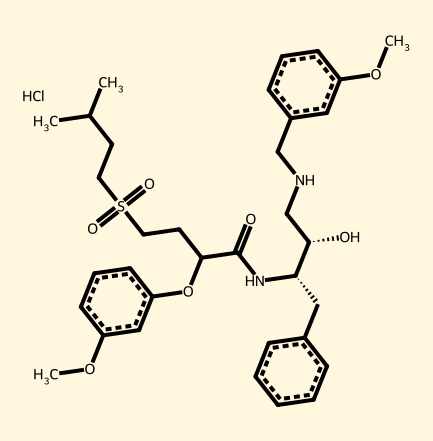 COc1cccc(CNC[C@H](O)[C@H](Cc2ccccc2)NC(=O)C(CCS(=O)(=O)CCC(C)C)Oc2cccc(OC)c2)c1.Cl